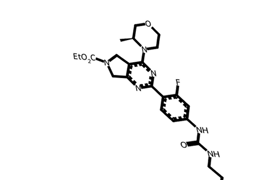 CCOC(=O)N1Cc2nc(-c3ccc(NC(=O)NCCO)cc3F)nc(N3CCOC[C@@H]3C)c2C1